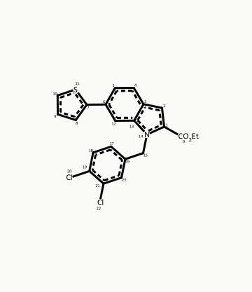 CCOC(=O)c1cc2ccc(-c3cccs3)cc2n1Cc1ccc(Cl)c(Cl)c1